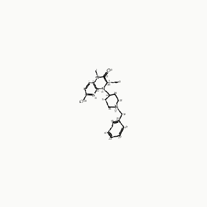 C[C@@H]1C(=O)N(C)c2ccc(Cl)nc2N1C1CCN(Cc2ccccc2)CC1